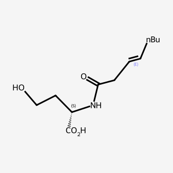 CCCC/C=C/CC(=O)N[C@@H](CCO)C(=O)O